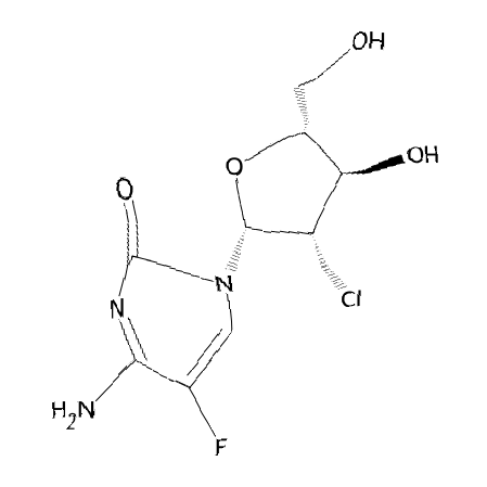 Nc1nc(=O)n([C@@H]2O[C@H](CO)[C@@H](O)[C@@H]2Cl)cc1F